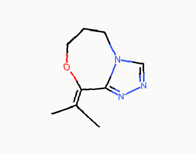 CC(C)=C1OCCCn2cnnc21